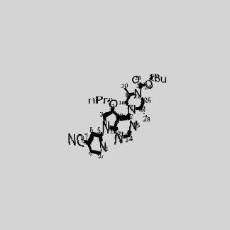 CCCOc1cn(-c2cc(C#N)ccn2)c2ncnc(N3C[C@@H](C)N(C(=O)OC(C)(C)C)C[C@@H]3C)c12